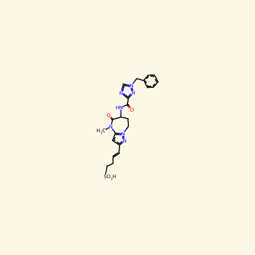 CN1C(=O)C(NC(=O)c2ncn(Cc3ccccc3)n2)CCn2nc(/C=C/CCS(=O)(=O)O)cc21